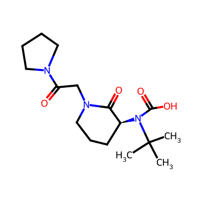 CC(C)(C)N(C(=O)O)[C@H]1CCCN(CC(=O)N2CCCC2)C1=O